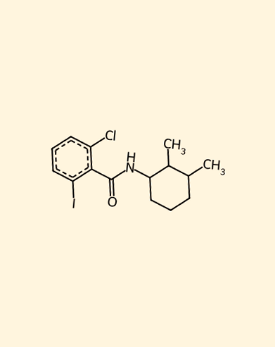 CC1CCCC(NC(=O)c2c(Cl)cccc2I)C1C